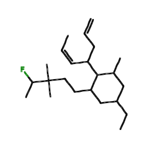 C=CCC(/C=C\C)C1C(C)CC(CC)CC1CCC(C)(C)C(C)F